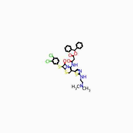 CN(C)CCNc1ncc(C2=C(NC(=O)CC(=O)OC(c3ccccc3)c3ccccc3)N3C(=O)C(Sc4ccc(Cl)c(Cl)c4)C3SC2)s1